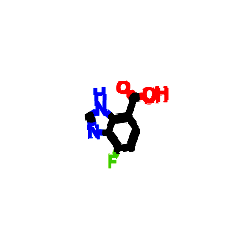 O=C(O)c1ccc(F)c2nc[nH]c12